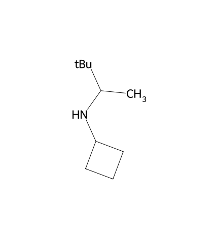 CC(NC1CCC1)C(C)(C)C